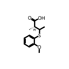 COc1ccccc1SC(C)[C@H](C)C(=O)O